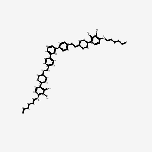 CCCCCCOc1ccc(C2CCC(CCc3ccc(-c4cccc(-c5ccc(CCC6CCC(c7ccc(OCCCCCC)c(F)c7F)CC6)cc5)c4)cc3)CC2)c(F)c1F